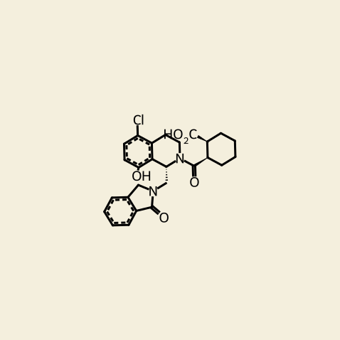 O=C(O)[C@H]1CCCC[C@H]1C(=O)N1CCc2c(Cl)ccc(O)c2[C@H]1CN1Cc2ccccc2C1=O